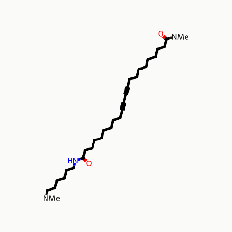 CNCCCCCCNC(=O)CCCCCCCCC#CC#CCCCCCCCCC(=O)NC